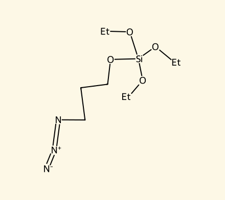 CCO[Si](OCC)(OCC)OCCCN=[N+]=[N-]